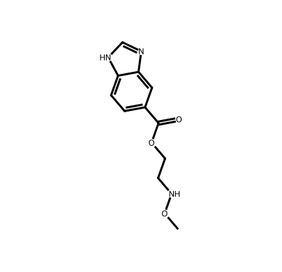 CONCCOC(=O)c1ccc2[nH]cnc2c1